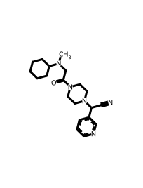 CN(CC(=O)N1CCN(C(C#N)c2cccnc2)CC1)C1CCCCC1